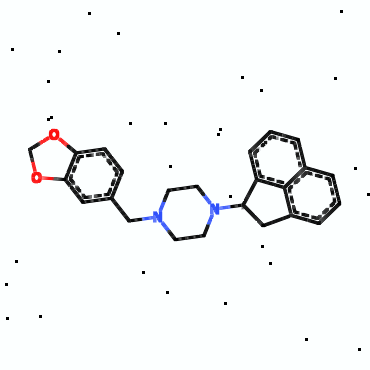 c1cc2c3c(cccc3c1)[C](N1CCN(Cc3ccc4c(c3)OCO4)CC1)C2